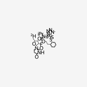 [2H]CC1OC(n2ccc(=O)[nH]c2=O)C(F)C1OP(OCCc1ccccc1SSc1nnnn1C)N(C(C)C)C(C)C